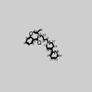 CC1=COc2ccccc2C(=O)N1CCCN1CC=C(c2ccccn2)CC1